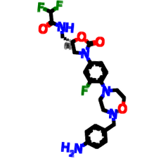 Nc1ccc(CN2CCN(c3ccc(N4C[C@H](CNC(=O)C(F)F)OC4=O)cc3F)CCO2)cc1